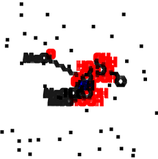 COC(=O)CCCCCCCCOC1OC(CO)C(OC2OC(CO)C(O)C(OCCC3CCCCC3)C2O)C(OC2OC(C)C(O)C(O)C2O)C1NC(=O)c1ccc(OC)c(OC)c1